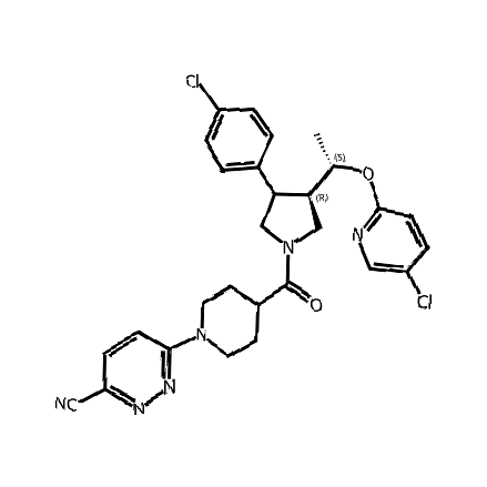 C[C@H](Oc1ccc(Cl)cn1)[C@H]1CN(C(=O)C2CCN(c3ccc(C#N)nn3)CC2)CC1c1ccc(Cl)cc1